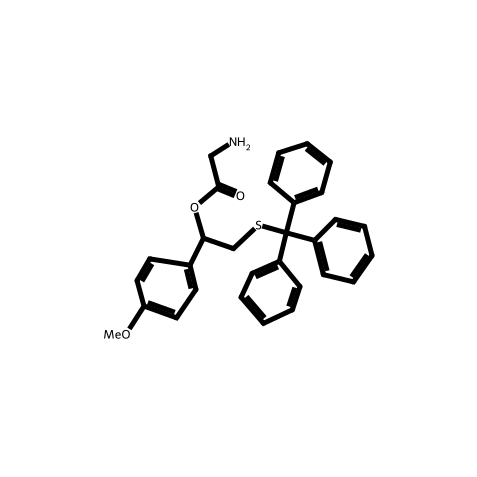 COc1ccc(C(CSC(c2ccccc2)(c2ccccc2)c2ccccc2)OC(=O)CN)cc1